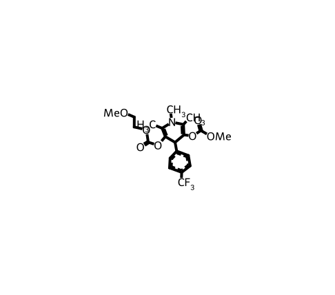 COCCOC(=O)OC1=C(C)N(C)C(C)=C(OC(=O)OC)C1c1ccc(C(F)(F)F)cc1